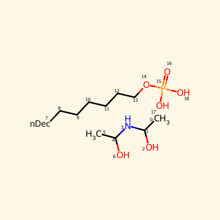 CC(O)NC(C)O.CCCCCCCCCCCCCCCCOP(=O)(O)O